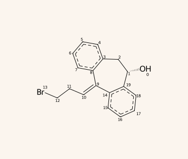 O[C@H]1Cc2ccccc2C(=CCCBr)c2ccccc21